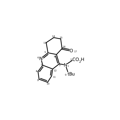 CC(C)(C)N(C(=O)O)c1c2c(nc3ccccc13)CCCC2=O